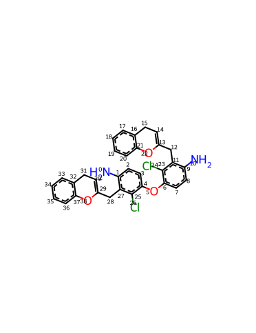 Nc1ccc(Oc2ccc(N)c(CC3=CCc4ccccc4O3)c2Cl)c(Cl)c1CC1=CCc2ccccc2O1